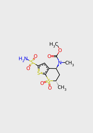 COC(=O)N(C)[C@H]1C[C@H](C)S(=O)(=O)c2sc(S(N)(=O)=O)cc21